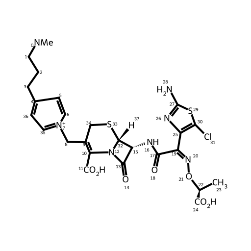 CNCCCc1cc[n+](CC2=C(C(=O)O)N3C(=O)[C@@H](NC(=O)/C(=N\O[C@@H](C)C(=O)O)c4nc(N)sc4Cl)[C@H]3SC2)cc1